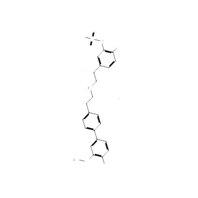 CC(C)Oc1cc(-c2ccc(CCNC[C@H](O)c3ccc(O)c(NS(C)(=O)=O)c3)cc2)ccc1C(=O)O.Cl